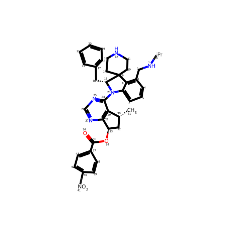 CC(C)NCc1cccc2c1C1(CCNCC1)[C@@H](Cc1ccccc1)N2c1ncnc2c1[C@H](C)C[C@H]2OC(=O)c1ccc([N+](=O)[O-])cc1